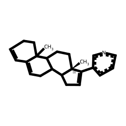 CC12CCC=CC1=CCC1C2CC[C@]2(C)C(c3cccnc3)=CCC12